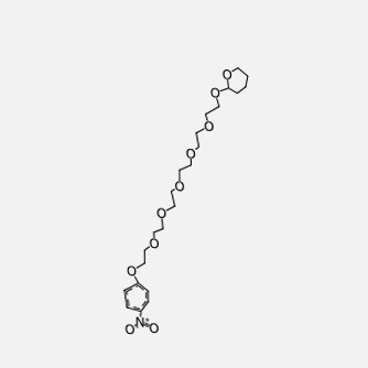 O=[N+]([O-])c1ccc(OCCOCCOCCOCCOCCOCCOC2CCCCO2)cc1